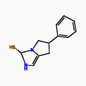 SC1NC=C2CC(c3ccccc3)CN21